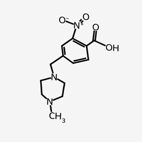 CN1CCN(Cc2ccc(C(=O)O)c([N+](=O)[O-])c2)CC1